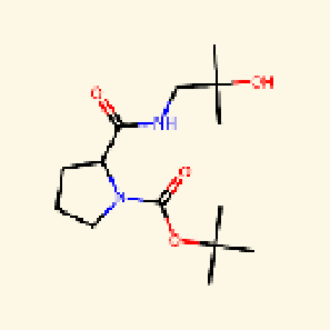 CC(C)(O)CNC(=O)C1CCCN1C(=O)OC(C)(C)C